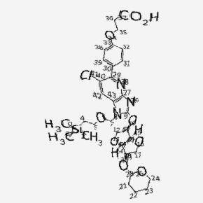 C[Si](C)(C)CCOCn1c(O[C@@H]2CO[C@H]3[C@@H]2OC[C@H]3OC2CCCCO2)nc2nc(-c3ccc(OCCC(=O)O)cc3)c(Cl)cc21